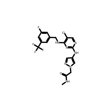 CNC(=O)Cn1cc(Nc2ncc(Cl)c(NCc3cc(F)cc(C(F)(F)F)c3)n2)cn1